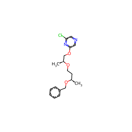 C[C@H](CCO[C@@H](C)COc1cncc(Cl)n1)OCc1ccccc1